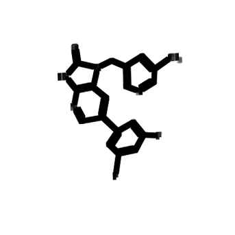 Cc1cncc(Cn2c(=O)[nH]c3ncc(-c4cc(F)cc(F)c4)cc32)c1